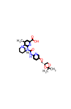 Cc1cc(C(=O)O)nc2c1N1CCC[C@@H](C1)N2C(=O)Nc1ccc(OC[C@@H]2COC(C)(C)O2)cn1